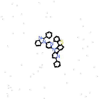 C1=CC2=NC(c3ccccc3)N(c3ccc(-n4c5ccc(-c6ccccc6)nc5c5ccc6sc7ccccc7c6c54)nc3)C2C=C1